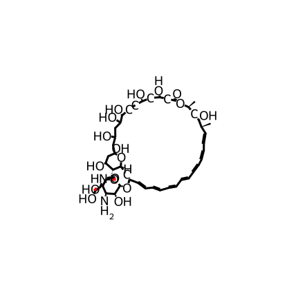 C[C@H]1C[C@H](O)[C@@H](C)/C=C/C=C/C=C/C=C/C=C/C=C/C=C/C(O[C@@H]2OC[C@@H](O)[C@H](N)[C@@H]2O)C[C@@H]2OC(O)(CC(O)CC(O)C(O)CC[C@@H](O)CC(O)CC(=O)O1)C[C@H](O)[C@H]2C(=O)NCCO